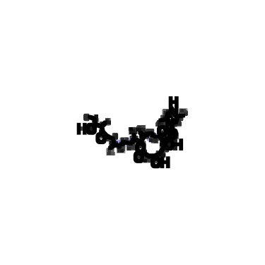 CCC(O)C(C)C1OC1CC(C)/C=C/C=C(\C)C1OC(=O)CC(O)CCC(C)(O)C(OC(=O)N2CC(C)NCC2C)/C=C/C1C